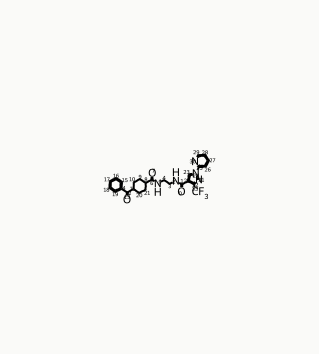 O=C(NCCNC(=O)C1CCC(C(=O)c2ccccc2)CC1)c1cn(-c2ccccn2)nc1C(F)(F)F